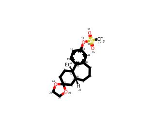 CC[C@]12CCC3(C[C@H]1CCCc1cc(OS(=O)(=O)C(F)(F)F)ccc12)OCCO3